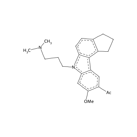 COc1cc2c(cc1C(C)=O)c1c3c(ccc1n2CCCN(C)C)CCC3